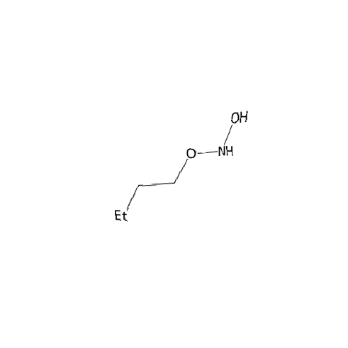 CCCCONO